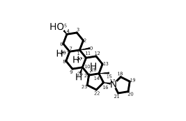 C[C@]12CC[C@H](O)C[C@@H]1CC[C@@H]1[C@@H]2CC[C@]2(C)[C@@H](N3CCCC3)CC[C@@H]12